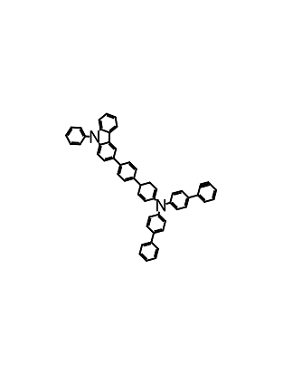 c1cccc(-c2ccc(N(C3=CCC(c4ccc(-c5ccc6c(c5)c5ccccc5n6-c5ccccc5)cc4)C=C3)c3ccc(-c4ccccc4)cc3)cc2)c#1